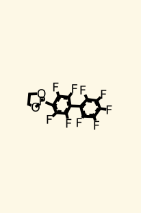 Fc1c(F)c(F)c(-c2c(F)c(F)c(P3OCCO3)c(F)c2F)c(F)c1F